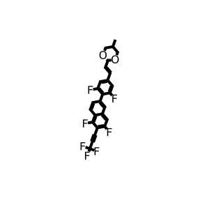 CC1COC(/C=C/c2cc(F)c(-c3ccc4c(F)c(C#CC(F)(F)F)c(F)cc4c3)c(F)c2)OC1